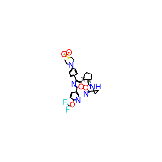 N#CC1(NC(=O)[C@@H]2CCCC[C@H]2c2oc(-c3ccc(OC(F)F)nc3)nc2-c2ccc(N3CCS(=O)(=O)CC3)cc2)CC1